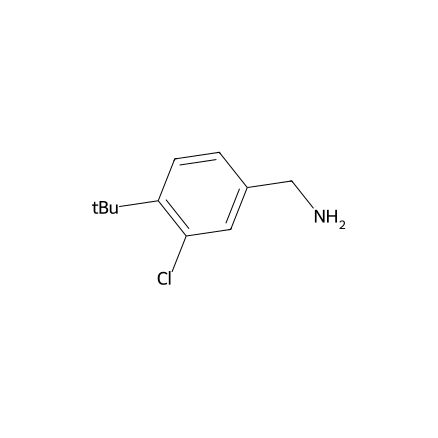 CC(C)(C)c1ccc(CN)cc1Cl